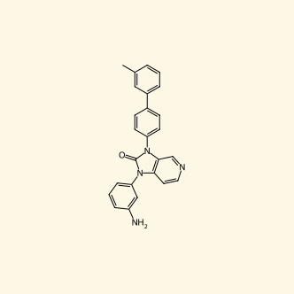 Cc1cccc(-c2ccc(-n3c(=O)n(-c4cccc(N)c4)c4ccncc43)cc2)c1